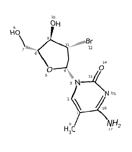 Cc1cn([C@@H]2O[C@H](CO)[C@@H](O)[C@@H]2Br)c(=O)nc1N